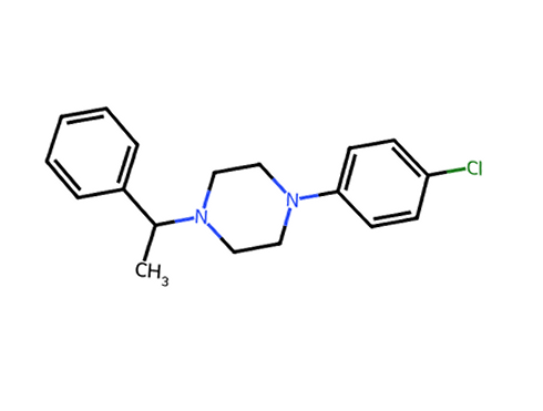 CC(c1ccccc1)N1CCN(c2ccc(Cl)cc2)CC1